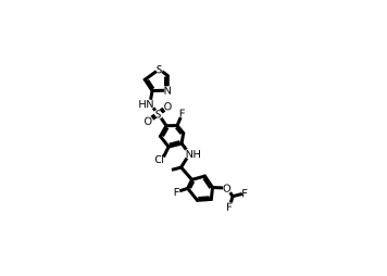 CC(Nc1cc(F)c(S(=O)(=O)Nc2cscn2)cc1Cl)c1cc(OC(F)F)ccc1F